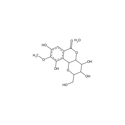 COc1c(O)cc2c(c1O)C1OC(CO)C(O)C(O)C1OC2=O.O